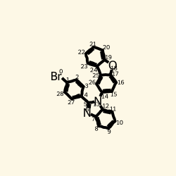 Brc1ccc(-c2nc3ccccc3n2-c2ccc3oc4ccccc4c3c2)cc1